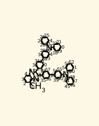 Cc1cccc2nc(-c3ccc(-c4ccc(N(c5ccccc5)c5ccccc5)cc4)cc3)c(-c3ccc(-c4ccc(N(c5ccccc5)c5ccccc5)cc4)cc3)nc12